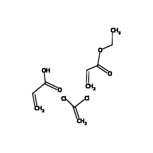 C=C(Cl)Cl.C=CC(=O)O.C=CC(=O)OCC